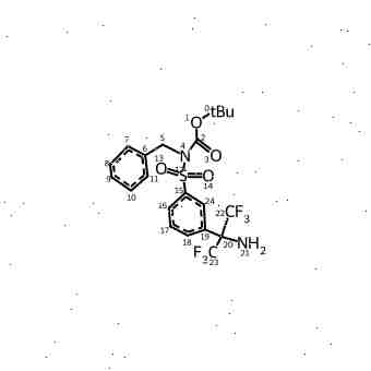 CC(C)(C)OC(=O)N(Cc1ccccc1)S(=O)(=O)c1cccc(C(N)(C(F)(F)F)C(F)(F)F)c1